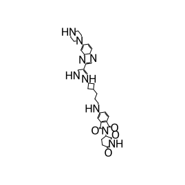 N=C/C(=C\NC1CC(CCCNc2ccc3c(c2)C(=O)N(C2CCC(=O)NC2=O)C3=O)C1)c1cnc2ccc(N3CCNCC3)cc2n1